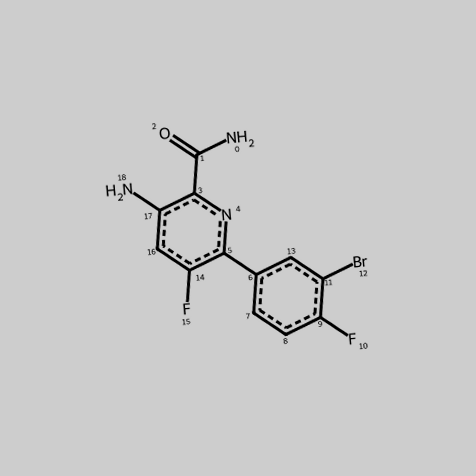 NC(=O)c1nc(-c2ccc(F)c(Br)c2)c(F)cc1N